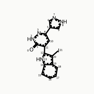 O=c1[nH]nc(-c2cn[nH]c2)cc1-c1[nH]c2ccccc2c1I